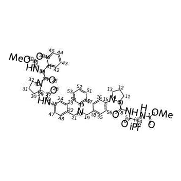 COC(=O)N[C@H](C(=O)NC(=O)[C@@H]1CCCN1c1ccc(CN(Cc2ccc(NC(=O)[C@@H]3CCCN3C(=O)[C@H](NC(=O)OC)c3ccccc3)cc2)c2ccccc2)cc1)C(C)C